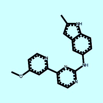 COc1ccnc(-c2ccnc(Nc3ccc4[nH]c(C)cc4c3)n2)c1